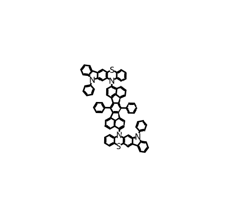 c1ccc(-c2c3c4cccc5c(N6c7ccccc7Sc7cc8c9ccccc9n(-c9ccccc9)c8cc76)ccc(c3c(-c3ccccc3)c3c6cccc7c(N8c9ccccc9Sc9cc%10c%11ccccc%11n(-c%11ccccc%11)c%10cc98)ccc(c23)c76)c54)cc1